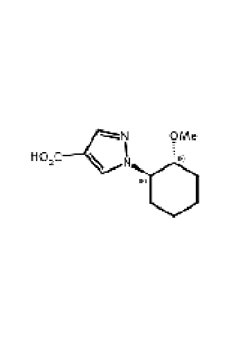 CO[C@@H]1CCCC[C@H]1n1cc(C(=O)O)cn1